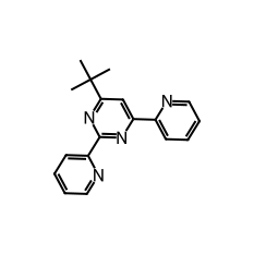 CC(C)(C)c1cc(-c2ccccn2)nc(-c2ccccn2)n1